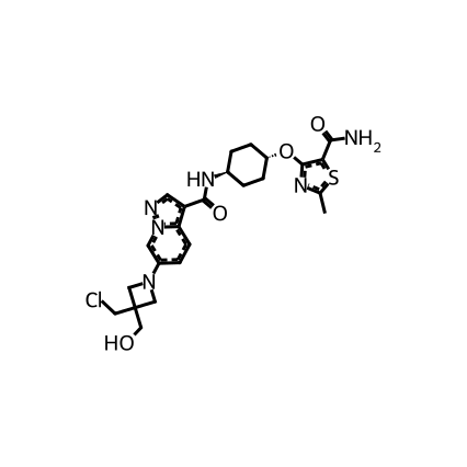 Cc1nc(O[C@H]2CC[C@H](NC(=O)c3cnn4cc(N5CC(CO)(CCl)C5)ccc34)CC2)c(C(N)=O)s1